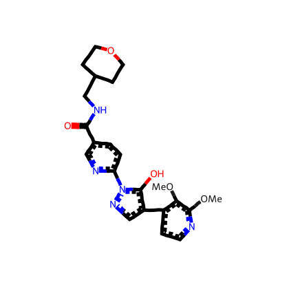 COc1nccc(-c2cnn(-c3ccc(C(=O)NCC4CCOCC4)cn3)c2O)c1OC